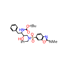 CNc1nc2ccc(S(=O)(=O)N(CC(C)C)CC(O)C(Cc3ccccc3)NC(=O)OC(C)(C)C)cc2o1